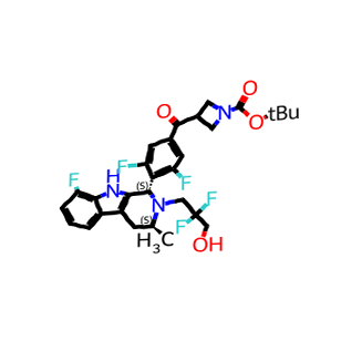 C[C@H]1Cc2c([nH]c3c(F)cccc23)[C@H](c2c(F)cc(C(=O)C3CN(C(=O)OC(C)(C)C)C3)cc2F)N1CC(F)(F)CO